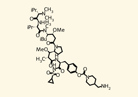 CC[C@H](C)[C@@H]([C@@H](CC(=O)N1CCC[C@H]1C(OC)[C@@H](C)C(=O)N[C@@H](Cc1ccc(OC(=O)N2CCC(CN)CC2)cc1)C(=O)NS(=O)(=O)C1CC1)OC)N(C)C(=O)[C@@H](NC(=O)[C@H](C(C)C)N(C)C)C(C)C